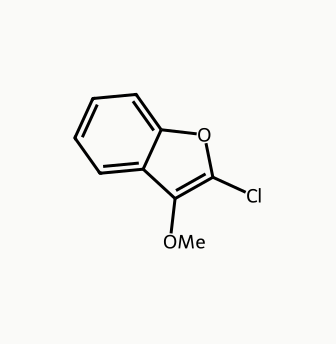 COc1c(Cl)oc2ccccc12